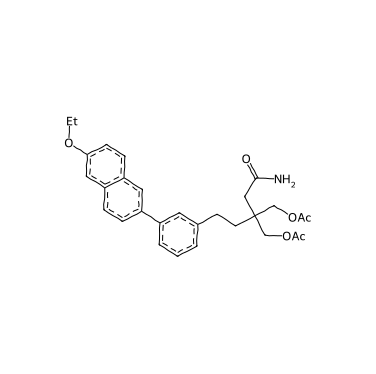 CCOc1ccc2cc(-c3cccc(CCC(COC(C)=O)(COC(C)=O)CC(N)=O)c3)ccc2c1